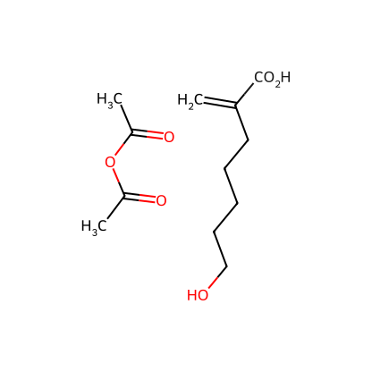 C=C(CCCCCO)C(=O)O.CC(=O)OC(C)=O